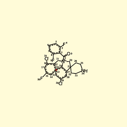 O=C(c1c(F)cccc1F)[N+]1(Cc2ccc(F)cc2Cl)CC2(CCNCC2)c2cc(Cl)ccc21